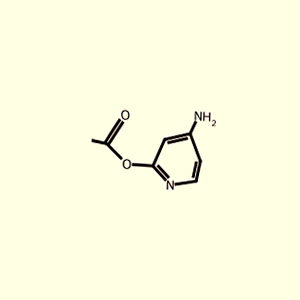 CC(=O)Oc1cc(N)ccn1